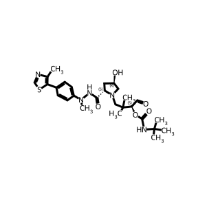 Cc1ncsc1-c1ccc(N(C)NC(=O)[C@@H]2C[C@@H](O)CN2CC(C)(C)[C@@H](C=O)OC(=O)NC(C)(C)C)cc1